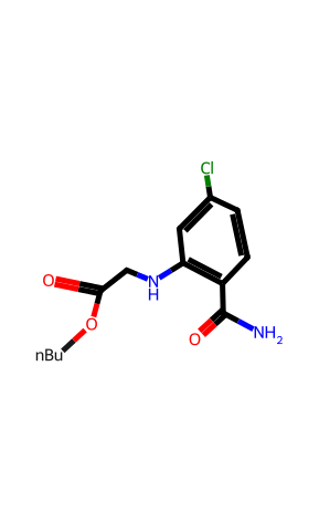 CCCCOC(=O)CNc1cc(Cl)ccc1C(N)=O